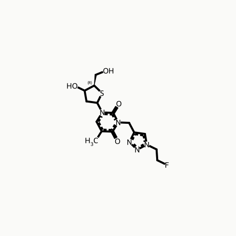 Cc1cn(C2CC(O)[C@@H](CO)S2)c(=O)n(Cc2cn(CCF)nn2)c1=O